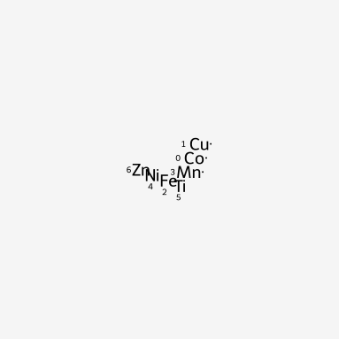 [Co].[Cu].[Fe].[Mn].[Ni].[Ti].[Zn]